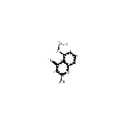 CCCCCOc1cccc2oc(C#N)cc(=O)c12